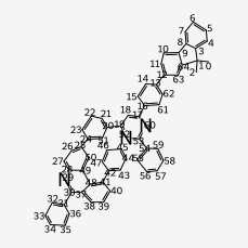 CC1(C)c2ccccc2-c2ccc(-c3ccc(-c4cc(-c5cccc(-c6ccc7nc(-c8ccccc8)c8cccc(-c9ccccc9)c8c7c6)c5)nc(-c5ccccc5)n4)cc3)cc21